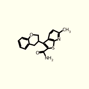 Cc1ccc2c(C3COc4ccccc4C3)c(C(N)=O)sc2n1